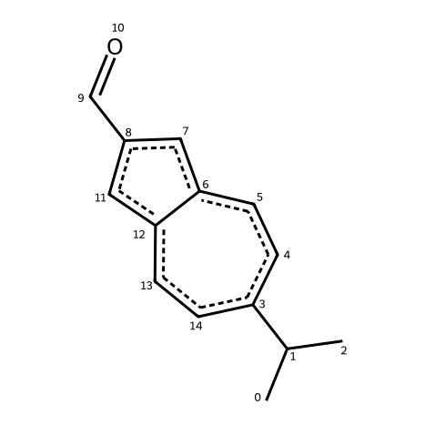 CC(C)c1ccc2cc(C=O)cc-2cc1